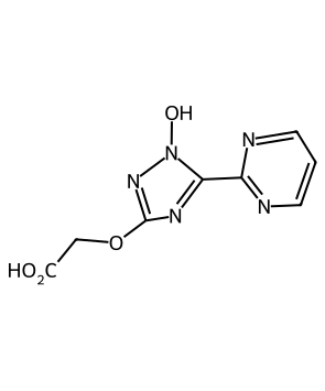 O=C(O)COc1nc(-c2ncccn2)n(O)n1